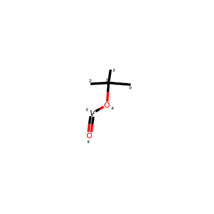 CC(C)(C)[O][V]=[O]